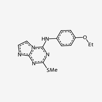 CCOc1ccc(Nc2nc(SC)nc3nccn23)cc1